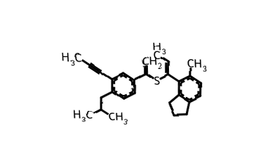 C=C(S/C(=C\C)c1c(C)ccc2c1CCC2)c1ccc(CC(C)C)c(C#CC)c1